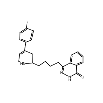 Cc1ccc(C2=CCNC(CCCCc3n[nH]c(=O)c4ccccc34)C2)cc1